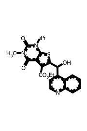 CCOC(=O)c1c(C(O)c2ccnc3ccccc23)sc2c1c(=O)n(C)c(=O)n2C(C)C